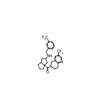 O=C(N1CCc2ncc(C(F)(F)F)cc2C1)C12CCCC1CC(NCc1cccc(C(F)(F)F)c1)C2